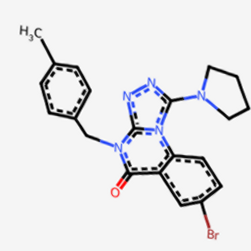 Cc1ccc(Cn2c(=O)c3cc(Br)ccc3n3c(N4CCCC4)nnc23)cc1